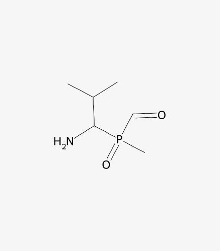 CC(C)C(N)P(C)(=O)C=O